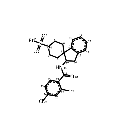 CCS(=O)(=O)N1CCC2(CC1)c1ccccc1CC2NC(=O)c1ccc(Cl)cc1I